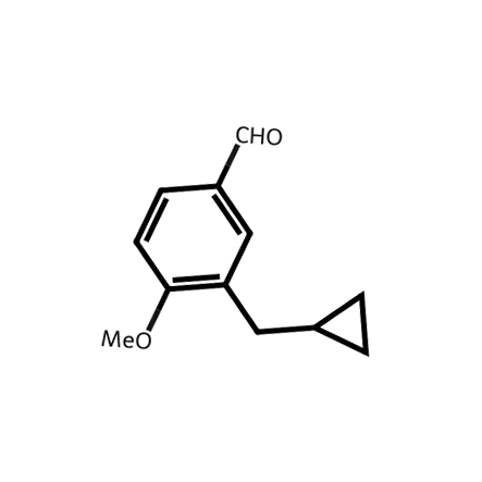 COc1ccc(C=O)cc1CC1CC1